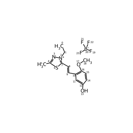 CC[n+]1nc(C)sc1C=Cc1cc(O)ccc1OC.F[B-](F)(F)F